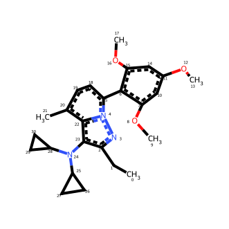 CCc1nn2c(-c3c(OC)cc(OC)cc3OC)ccc(C)c2c1N(C1CC1)C1CC1